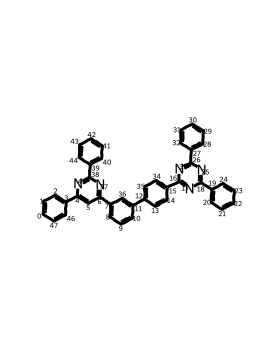 c1ccc(-c2cc(-c3cccc(-c4ccc(-c5nc(-c6ccccc6)nc(-c6ccccc6)n5)cc4)c3)nc(-c3ccccc3)n2)cc1